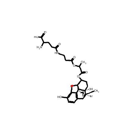 CC(OC(=O)CCNC(=O)CCC(N)C(=O)O)C(=O)OC1CC[C@@]2(O)[C@H]3Cc4ccc(O)c5c4[C@@]2(CCN3C)[C@H]1O5